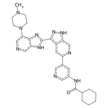 CN1CCN(c2cncc3[nH]c(-c4n[nH]c5cnc(-c6cncc(NC(=O)C7CCCCC7)c6)cc45)nc23)CC1